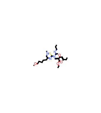 CCC/N=C(\C)N(/C=C(\C(=O)/C=C(\C)CC)C(=O)OCC)C1=NC(CCCCCOC)CN(C)S1